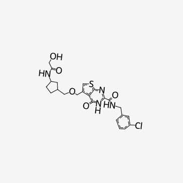 O=C(CO)NC1CCC(COCc2csc3nc(C(=O)NCc4cccc(Cl)c4)[nH]c(=O)c23)C1